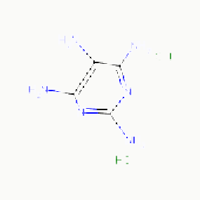 Cl.Cl.Nc1nc(N)c(N)c(N)n1